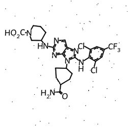 NC(=O)C1CCC(n2c(Nc3c(Cl)cc(C(F)(F)F)cc3Cl)nc3cnc(NC4CCCN(C(=O)O)C4)nc32)CC1